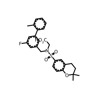 Cc1ccccc1-c1cc(F)cc(CN(CC(=O)O)S(=O)(=O)c2ccc3c(c2)CCC(C)(C)O3)c1